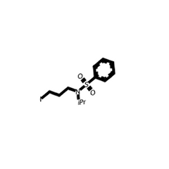 CC(C)N(CCCI)S(=O)(=O)c1ccccc1